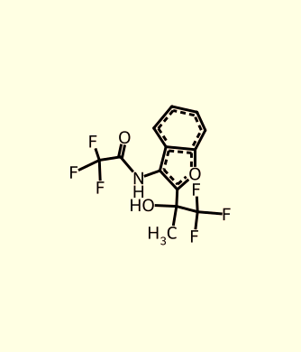 CC(O)(c1oc2ccccc2c1NC(=O)C(F)(F)F)C(F)(F)F